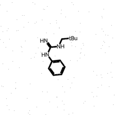 CC(C)(C)CNC(=N)Nc1ccccc1